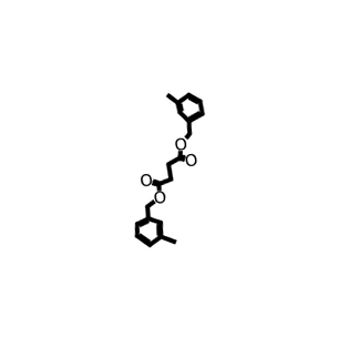 Cc1cccc(COC(=O)CCC(=O)OCc2cccc(C)c2)c1